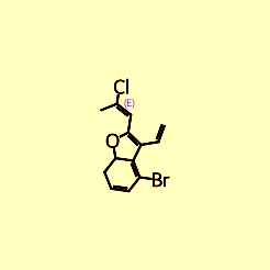 C=CC1=C(/C=C(\C)Cl)OC2CC=CC(Br)=C12